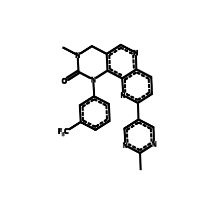 Cc1ncc(-c2ccc3ncc4c(c3n2)N(c2cccc(C(F)(F)F)c2)C(=O)N(C)C4)cn1